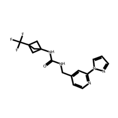 O=C(NCc1ccnc(-n2cccn2)c1)NC12CC(C(F)(F)F)(C1)C2